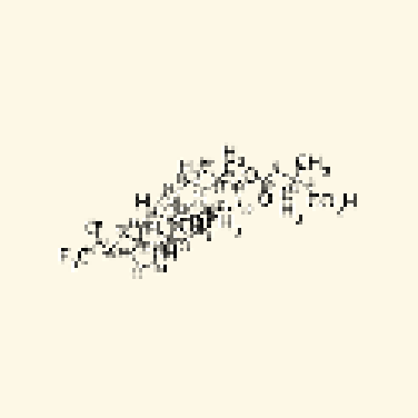 CC(C)(CC(=O)O)CC(=O)O[C@H]1CC[C@@]2(C)C(CC[C@]3(C)C2CC[C@@H]2[C@H]4CCC[C@]4(CCC(=O)C(F)(F)F)CC[C@]23C)C1(C)C